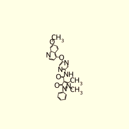 COc1ccc2c(Oc3cnc(NC(=O)c4c(C)n(C)n(-c5ccccc5)c4=O)cn3)ccnc2c1